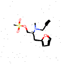 C#CCN(C)[C@H](COS(C)(=O)=O)Cc1ccco1